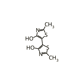 Cc1nc(O)c(-c2sc(C)nc2O)s1